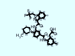 C[C@@H]1CCCN(c2ccc(C(=O)Nc3ccc(F)cc3CC(=O)O)cc2NC(=O)c2nn(CC(F)(F)F)c3ccccc23)C1